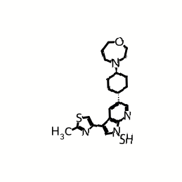 Cc1nc(-c2cn(S)c3ncc([C@H]4CC[C@H](N5CCCOCC5)CC4)cc23)cs1